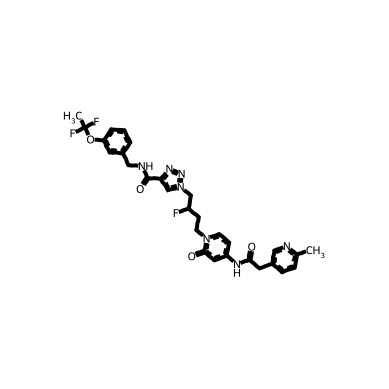 Cc1ccc(CC(=O)Nc2ccn(CCC(F)Cn3cc(C(=O)NCc4cccc(OC(C)(F)F)c4)nn3)c(=O)c2)cn1